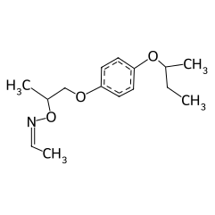 C/C=N\OC(C)COc1ccc(OC(C)CC)cc1